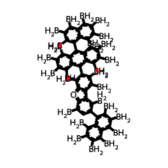 Bc1c(B)c(B)c2c(-c3cc(B)c4oc5c(B)c(-c6c7c(B)c(B)c(B)c(B)c7c(-c7c(B)c(B)c(B)c8c(B)c(B)c(B)c(B)c78)c7c(B)c(B)c(B)c(B)c67)c(B)c(B)c5c4c3B)c(B)c(B)c(B)c2c1B